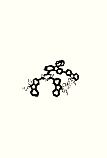 CC1(C)c2ccccc2-c2cc(-c3nc(-c4ccc5c(c4)-c4ccccc4C5(C)C)nc(-c4cccc5c4-c4ccc(-c6ccc7c(c6)S(C)(C)c6ccccc6-7)cc4C54C5CC6CC(C5)CC4C6)n3)ccc21